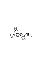 Cc1cc(Oc2cc[c]cc2CN)ccc1N